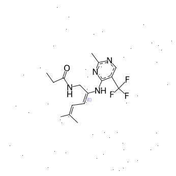 CCC(=O)NC/C(=C\C=C(C)C)Nc1nc(C)ncc1C(F)(F)F